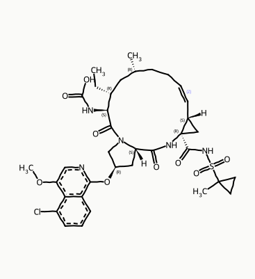 CC[C@@H]1C[C@H](C)CC/C=C\[C@@H]2C[C@@]2(C(=O)NS(=O)(=O)C2(C)CC2)NC(=O)[C@@H]2C[C@@H](Oc3ncc(OC)c4c(Cl)cccc34)CN2C(=O)[C@H]1NC(=O)O